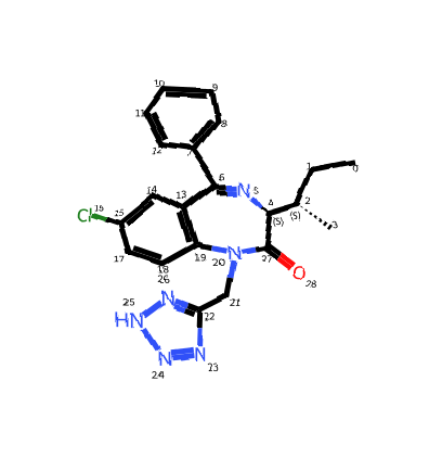 CC[C@H](C)[C@@H]1N=C(c2ccccc2)c2cc(Cl)ccc2N(Cc2nn[nH]n2)C1=O